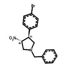 O=[N+]([O-])[C@H]1CN(Cc2ccccc2)C[C@@H]1c1ccc(Br)cc1